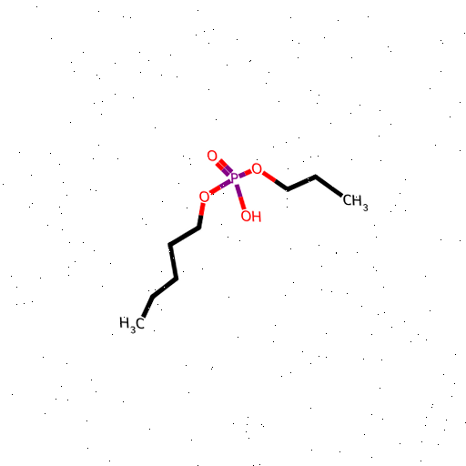 CCCCCOP(=O)(O)OCCC